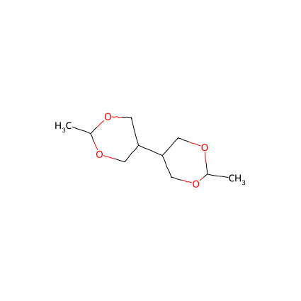 CC1OCC(C2COC(C)OC2)CO1